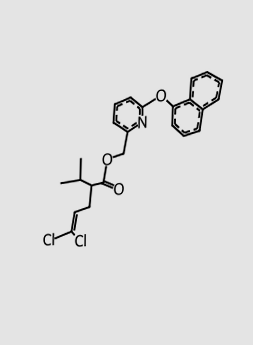 CC(C)C(CC=C(Cl)Cl)C(=O)OCc1cccc(Oc2cccc3ccccc23)n1